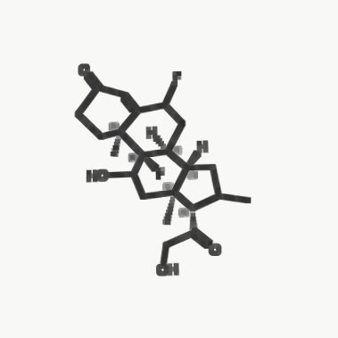 CC1C[C@H]2[C@@H]3CC(F)C4=CC(=O)CC[C@]4(C)[C@@]3(F)C(O)C[C@]2(C)[C@H]1C(=O)CO